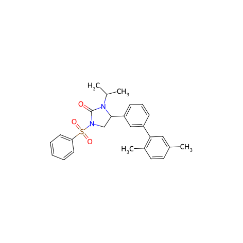 Cc1ccc(C)c(-c2cccc(C3CN(S(=O)(=O)c4ccccc4)C(=O)N3C(C)C)c2)c1